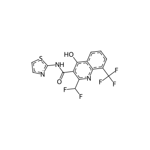 O=C(Nc1nccs1)c1c(C(F)F)nc2c(C(F)(F)F)cccc2c1O